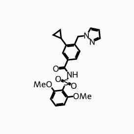 COc1cccc(OC)c1S(=O)(=O)NC(=O)c1ccc(Cn2cccn2)c(C2CC2)c1